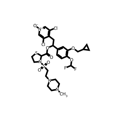 CN1CCN(CCS(=O)(=O)N2CCSC2C(=O)OC(Cc2c(Cl)c[n+]([O-])cc2Cl)c2ccc(OC(F)F)c(OCC3CC3)c2)CC1